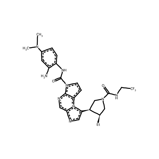 CC[C@@H]1CN(C(=O)NCC(F)(F)F)C[C@@H]1c1cnc2cnc3c(ccn3C(=O)Nc3ccc(N(C)C)cc3N)n12